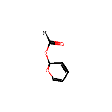 CCC(=O)OC1C=CC=CO1